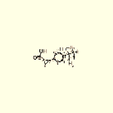 CC(C)(c1ccc(C2CC2C(=O)O)cc1)C(F)(F)F